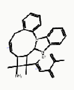 C=C(C)C(=C)/C=C(\C)C1(C)C2C3N(CC)c4ccccc4N3c3ccccc3C/C=C\C2C1(C)N